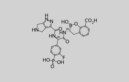 O=C(O)c1cccc2c1OB(O)[C@@H](NC(=O)[C@H](NC(=O)c1n[nH]c3c1CNC3)c1ccc(P(=O)(O)O)c(F)c1)C2